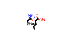 CCCCC(=O)O.CCCCCCCC(N)=O